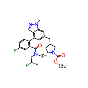 CC(C)N(CC(F)F)C(=O)c1cc(F)ccc1-c1cc(C[C@H]2CCN(C(=O)OC(C)(C)C)C2)cc2c1cnn2C